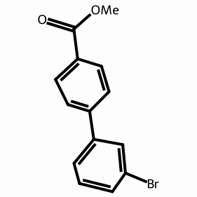 COC(=O)c1ccc(-c2cccc(Br)c2)cc1